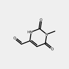 Cn1c(=O)cc(C=O)[nH]c1=O